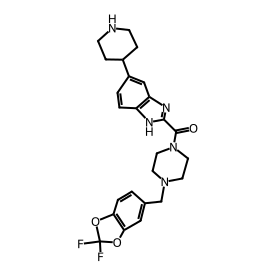 O=C(c1nc2cc(C3CCNCC3)ccc2[nH]1)N1CCN(Cc2ccc3c(c2)OC(F)(F)O3)CC1